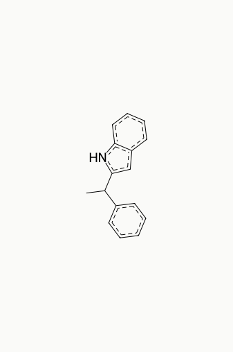 CC(c1ccccc1)c1cc2ccccc2[nH]1